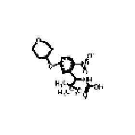 CC(C)(C)C(NC(=O)O)c1cc(OC2CCOCC2)ccc1[N+](=O)[O-]